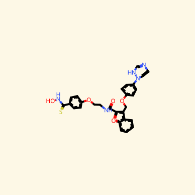 O=C(NCCOc1ccc(C(=S)NO)cc1)c1oc2ccccc2c1COc1ccc(N2C=CN=CN2)cc1